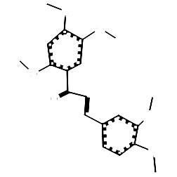 COc1ccc(C=CC(=O)c2cc(OC)c(SC)cc2OC)cc1OC